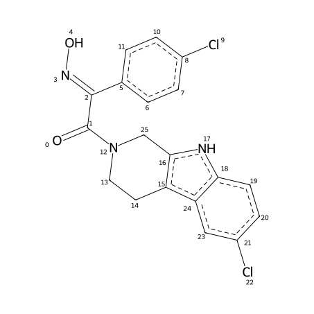 O=C(/C(=N/O)c1ccc(Cl)cc1)N1CCc2c([nH]c3ccc(Cl)cc23)C1